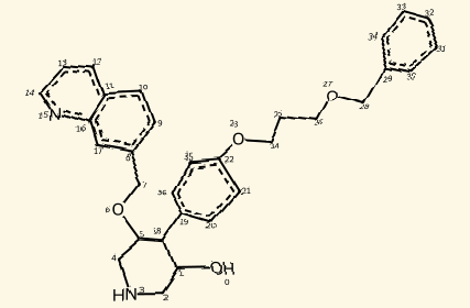 OC1CNCC(OCc2ccc3cccnc3c2)C1c1ccc(OCCCOCc2ccccc2)cc1